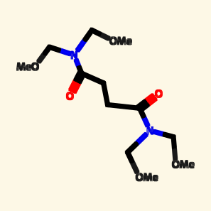 COCN(COC)C(=O)CCC(=O)N(COC)COC